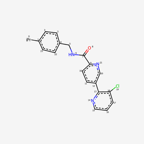 CC(C)c1ccc(CNC(=O)c2ccc(-c3ncccc3Cl)cn2)cc1